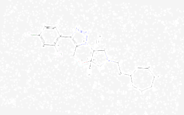 Fc1ccc(-c2nnn3c2CO[C@H]2CN(CCC4CCCCCC4)C[C@@H]23)c(Cl)c1